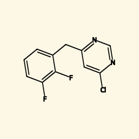 Fc1cccc(Cc2cc(Cl)ncn2)c1F